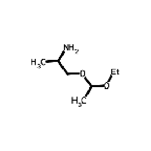 CCOC(C)OCC(C)N